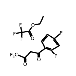 CCOC(=O)C(F)(F)F.O=C(CC(=O)C(F)(F)F)c1ccc(F)cc1F